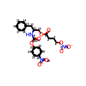 O=C(CCCO[N+](=O)[O-])OCC(Cc1ccccc1)NC(=O)Oc1ccc([N+](=O)[O-])cc1